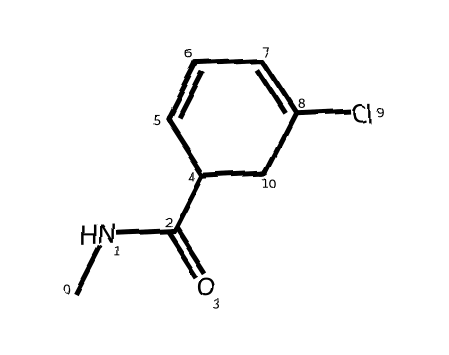 CNC(=O)C1C=CC=C(Cl)C1